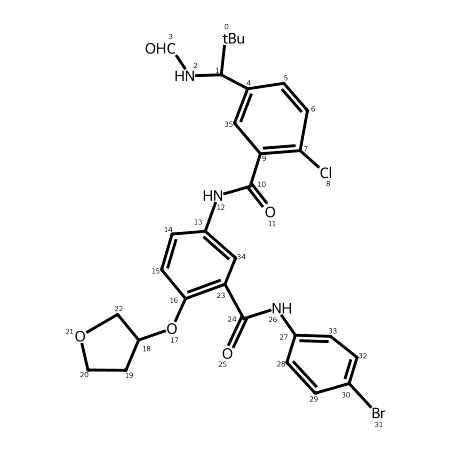 CC(C)(C)C(NC=O)c1ccc(Cl)c(C(=O)Nc2ccc(OC3CCOC3)c(C(=O)Nc3ccc(Br)cc3)c2)c1